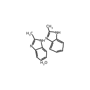 Cc1nc2ccccc2[nH]1.Cc1nc2ccccc2[nH]1.O